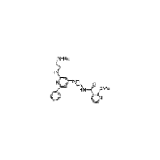 CSc1ncccc1C(=O)NCCNc1cc(NCCNC(C)=O)nc(-c2ccccc2)n1